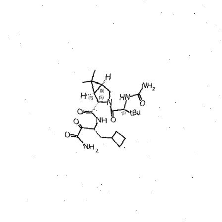 CC(C)(C)[C@H](NC(N)=O)C(=O)N1C[C@H]2[C@@H]([C@H]1C(=O)NC(CC1CCC1)C(=O)C(N)=O)C2(C)C